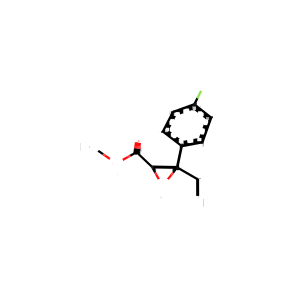 CCC1(c2ccc(F)cc2)OC1C(=O)OC